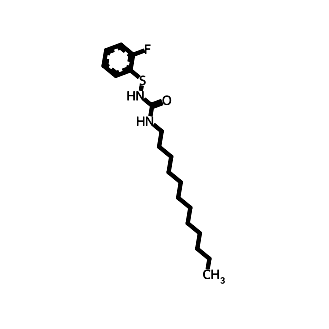 CCCCCCCCCCCCNC(=O)NSc1ccccc1F